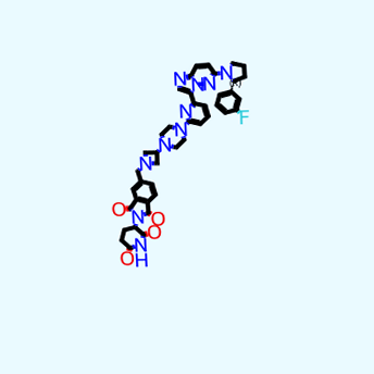 O=C1CCC(N2C(=O)c3ccc(CN4CC(N5CCN(c6cccc(-c7cnc8ccc(N9CCC[C@@H]9c9cccc(F)c9)nn78)n6)CC5)C4)cc3C2=O)C(=O)N1